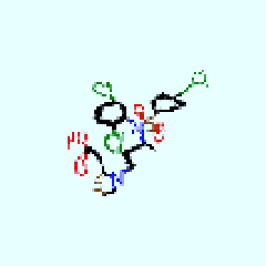 CC(CCN1CCSC1CC(=O)O)N(c1cc(Cl)ccc1Cl)S(=O)(=O)c1ccc(Cl)cc1